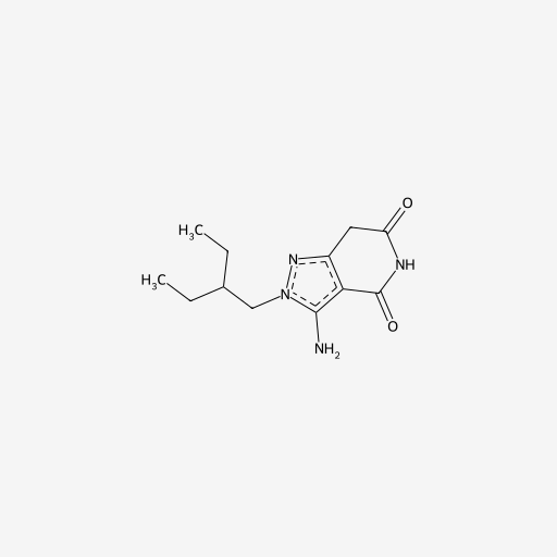 CCC(CC)Cn1nc2c(c1N)C(=O)NC(=O)C2